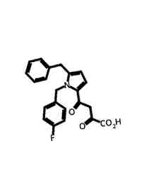 O=C(O)C(=O)CC(=O)c1ccc(Cc2ccccc2)n1Cc1ccc(F)cc1